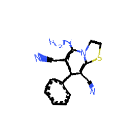 N#CC1=C(N)N2CCSC2=C(C#N)C1c1ccccc1